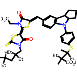 CCC(C)(CC)CC(CC)(CC)CN1C(=O)/C(=c2\s/c(=C\c3ccc4c(c3)C3CCCC3N4c3ccc(SC(C)(CC)C(C)(CC)C(=O)O)cc3)c(=O)n2CC(=O)O)SC1=S